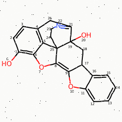 Oc1ccc2c3c1OC1=C4Oc5ccccc5C4CC4(O)C(=NCCC134)C2